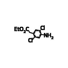 CCOC(=O)Cc1cc(Cl)c(N)cc1Cl